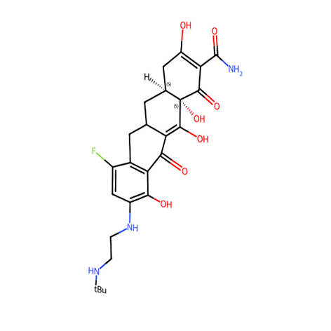 CC(C)(C)NCCNc1cc(F)c2c(c1O)C(=O)C1=C(O)[C@]3(O)C(=O)C(C(N)=O)=C(O)C[C@@H]3CC1C2